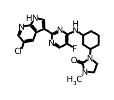 CN1CCN(C2CCCC(Nc3nc(-c4c[nH]c5ncc(Cl)cc45)ncc3F)C2)C1=O